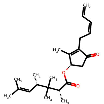 C=C/C=C\CC1=C(C)[C@@H](OC(=O)[C@H](C)C(C)(C)[C@@H](C)C=C(C)C)CC1=O